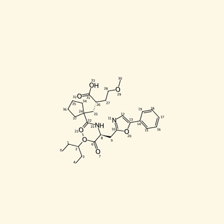 CCC(CC)OC(=O)[C@H](Cc1ncc(-c2ccccc2)o1)NC(=O)C1(C[C@@H](CCOC)C(=O)O)CCCC1